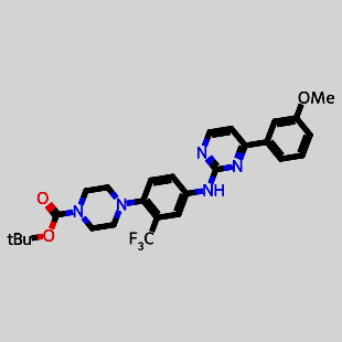 COc1cccc(-c2ccnc(Nc3ccc(N4CCN(C(=O)OC(C)(C)C)CC4)c(C(F)(F)F)c3)n2)c1